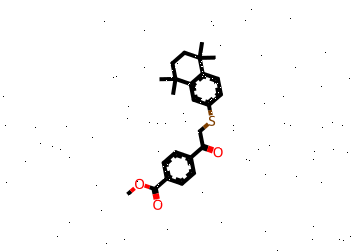 COC(=O)c1ccc(C(=O)CSc2ccc3c(c2)C(C)(C)CCC3(C)C)cc1